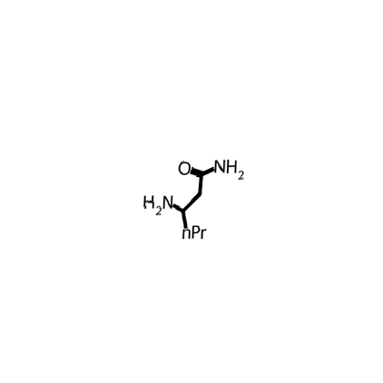 CCCC(N)CC(N)=O